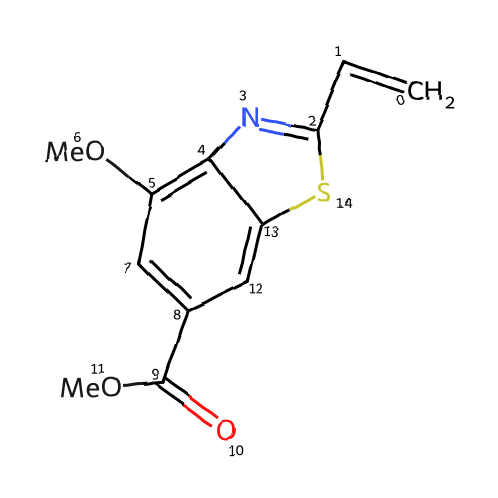 C=Cc1nc2c(OC)cc(C(=O)OC)cc2s1